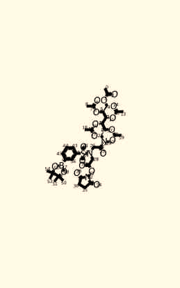 CC(=O)OC[C@H](OC(C)=O)[C@H](OC(C)=O)[C@@H](OC(C)=O)[C@@H](CN(C)C(=O)CN(CC(=O)ON1C(=O)CCC1=O)S(=O)(=O)c1cccc(B2OC(C)(C)C(C)(C)O2)c1)OC(C)=O